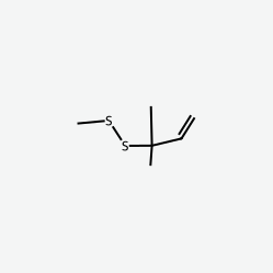 C=CC(C)(C)SSC